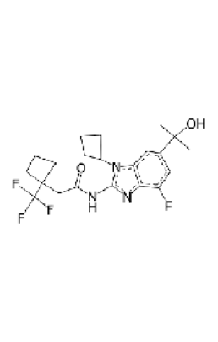 CC(C)(O)c1cc(F)c2nc(NC(=O)CC3(C(F)(F)F)CCC3)n(C3CCC3)c2c1